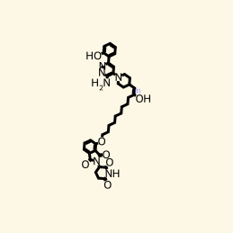 Nc1nnc(-c2ccccc2O)cc1N1CCC(/C=C(/O)CCCCCCCCCOc2cccc3c2C(=O)N(C2CCC(=O)NC2=O)C3=O)CC1